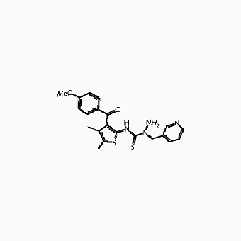 COc1ccc(C(=O)c2c(NC(=S)N(N)Cc3cccnc3)sc(C)c2C)cc1